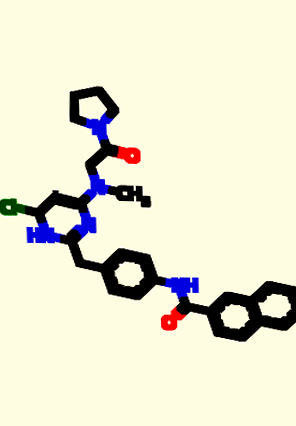 CN(CC(=O)N1CCCC1)C1=[C]C(Cl)NC(Cc2ccc(NC(=O)c3ccc4ccccc4c3)cc2)=N1